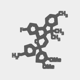 COc1ccc(C2(c3ccc(P)cc3)C=Cc3c4c(c5ccc(F)cc5c3O2)-c2ccc(C)cc2C4(C)C)cc1OC